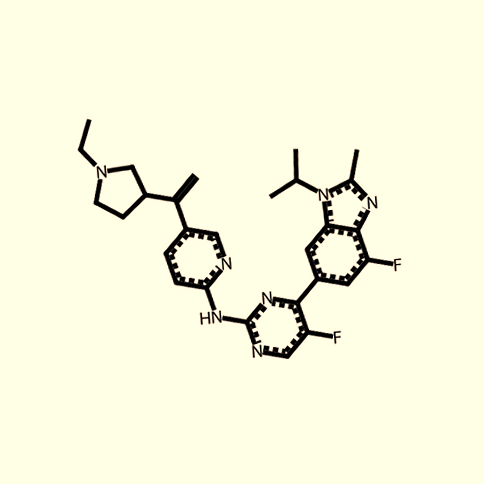 C=C(c1ccc(Nc2ncc(F)c(-c3cc(F)c4nc(C)n(C(C)C)c4c3)n2)nc1)C1CCN(CC)C1